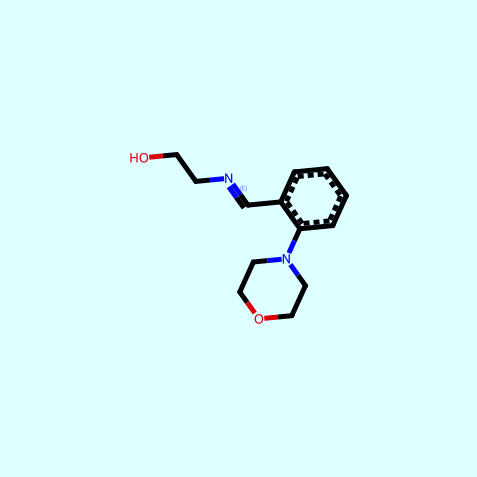 OCC/N=C/c1ccccc1N1CCOCC1